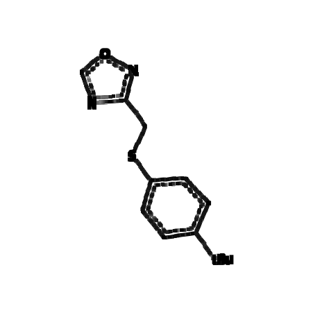 CC(C)(C)c1ccc(SCc2ncon2)cc1